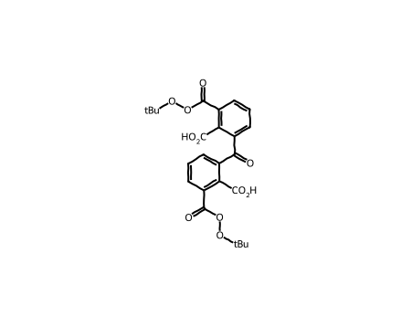 CC(C)(C)OOC(=O)c1cccc(C(=O)c2cccc(C(=O)OOC(C)(C)C)c2C(=O)O)c1C(=O)O